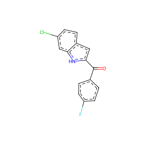 O=C(c1ccc(F)cc1)c1cc2ccc(Cl)cc2[nH]1